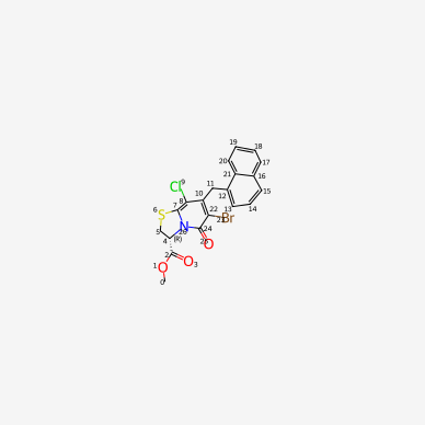 COC(=O)[C@@H]1CSc2c(Cl)c(Cc3cccc4ccccc34)c(Br)c(=O)n21